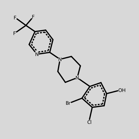 Oc1cc(Cl)c(Br)c(N2CCN(c3ccc(C(F)(F)F)cn3)CC2)c1